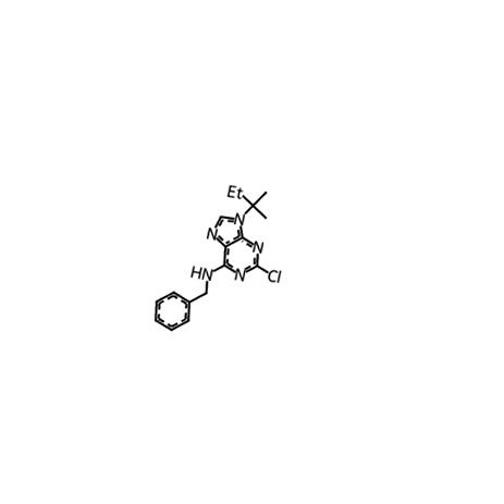 CCC(C)(C)n1cnc2c(NCc3ccccc3)nc(Cl)nc21